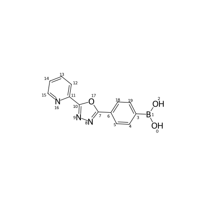 OB(O)c1ccc(-c2nnc(-c3ccccn3)o2)cc1